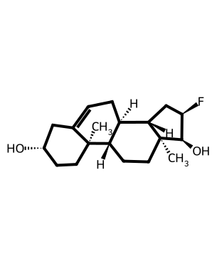 C[C@]12CC[C@H]3[C@@H](CC=C4C[C@@H](O)CC[C@@]43C)[C@@H]1C[C@@H](F)[C@H]2O